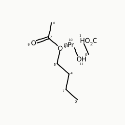 CC(=O)O.CCCCOC(C)=O.CCCO